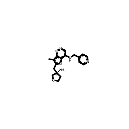 Cc1c(C[C@@]2(N)CCOC2)sc2c(NCc3ccncc3)cnnc12